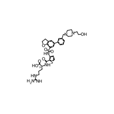 N=C(N)NCCC[C@H](NC(=O)c1sccc1NS(=O)(=O)c1cc(-c2cccc(CN3CCN(CCO)CC3)c2)cc2c1OCC2)C(=O)O